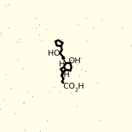 O=C(O)CC/C=C1/C[C@@H]2[C@@H](C#CC(O)CC3CCCC3)[C@H](O)CC[C@H]12